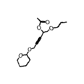 CCCOCC(C#CCOC1CCCCO1)OC(C)=O